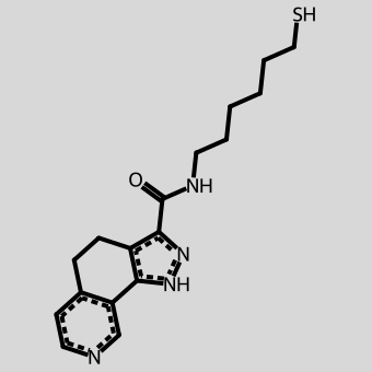 O=C(NCCCCCCS)c1n[nH]c2c1CCc1ccncc1-2